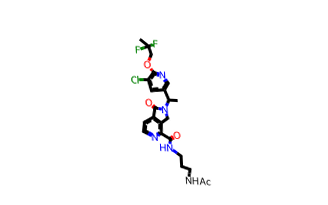 CC(=O)NCCCNC(=O)c1nccc2c1CN(C(C)c1cnc(OCC(C)(F)F)c(Cl)c1)C2=O